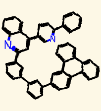 c1ccc(-c2ccc(-c3cc(-c4cccc(-c5cccc(-c6ccc7c8ccccc8c8ccccc8c7c6)c5)c4)nc4ccccc34)cn2)cc1